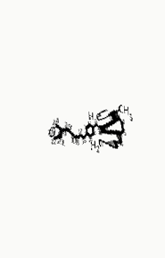 C=C(C)c1ccc(CN)cc1Cc1ccc(CCCCC2CCOC2)cc1